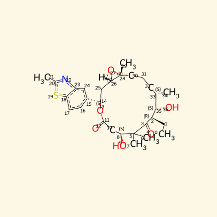 CC[C@H]1C(=O)C(C)(C)[C@@H](O)CC(=O)O[C@H](c2ccc3sc(C)nc3c2)C[C@@H]2O[C@]2(C)CCC[C@H](C)[C@@H]1O